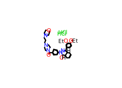 CCOc1ccc(C2=NN(c3ccc(C(=O)N4CCN(CCCN5CCOCC5)CC4)cc3)C(=O)[C@@H]3CC=CC[C@H]23)cc1OCC.Cl.Cl